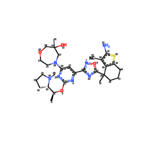 C[C@H](Oc1nc(-c2noc(C3(C)CCCc4sc(N)c(C#N)c43)n2)cc(N2CCOCC(C)(O)C2)n1)[C@@H]1CCCN1C